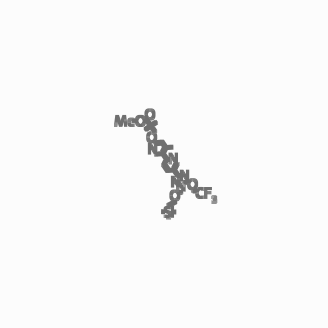 COC(=O)C(C)(C)COc1cc(C)c(-c2ccc(-c3nc(OCC(F)(F)F)n(COCC[Si](C)(C)C)n3)cn2)cn1